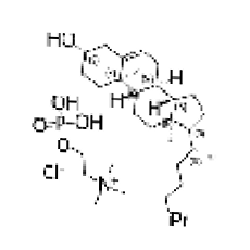 CC(C)CCC[C@@H](C)[C@H]1CC[C@H]2[C@@H]3CC=C4C[C@@H](O)CC[C@]4(C)[C@H]3CC[C@]12C.C[N+](C)(C)CCOP(=O)(O)O.[Cl-]